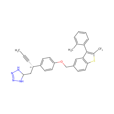 CC#C[C@@H](CC1NN=NN1)c1ccc(OCc2ccc3sc(C(F)(F)F)c(-c4ccccc4C)c3c2)cc1